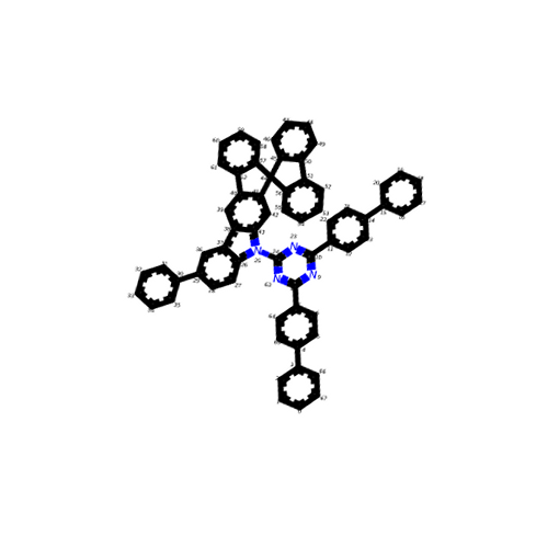 c1ccc(-c2ccc(-c3nc(-c4ccc(-c5ccccc5)cc4)nc(-n4c5ccc(-c6ccccc6)cc5c5cc6c(cc54)C4(c5ccccc5-c5ccccc54)c4ccccc4-6)n3)cc2)cc1